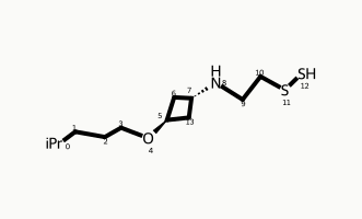 CC(C)CCCO[C@H]1C[C@H](NCCSS)C1